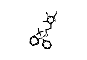 Cc1c(CCO[Si](c2ccccc2)(c2ccccc2)C(C)(C)C)nc(I)n1C